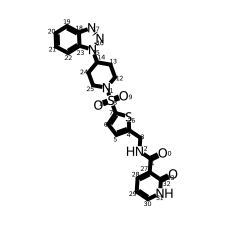 O=C(NCc1ccc(S(=O)(=O)N2CCC(n3nnc4ccccc43)CC2)s1)c1ccc[nH]c1=O